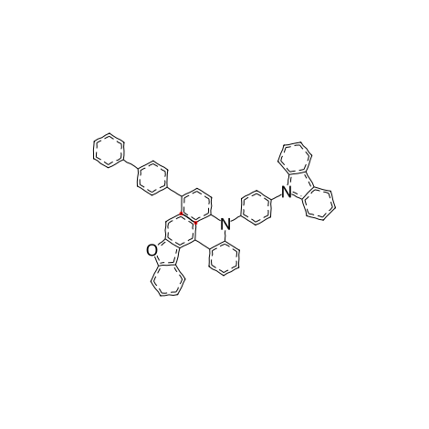 c1ccc(-c2ccc(-c3ccc(N(c4ccc(-n5c6ccccc6c6ccccc65)cc4)c4ccccc4-c4cccc5oc6ccccc6c45)cc3)cc2)cc1